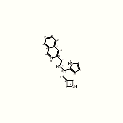 c1c[nH]c([C@H](CC2CNC2)NCc2cc3ccccc3cn2)c1